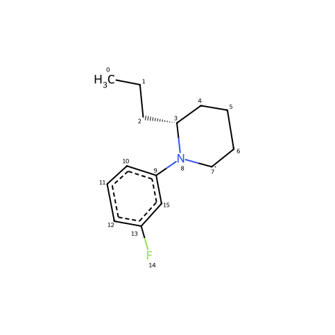 CCC[C@@H]1CCC[CH]N1c1cccc(F)c1